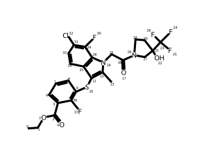 CCOC(=O)c1cccc(Sc2c(C)n(CC(=O)N3CCC(O)(C(F)(F)F)C3)c3c(F)c(Cl)ccc23)c1F